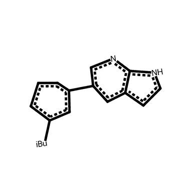 CCC(C)c1cccc(-c2cnc3[nH]ccc3c2)c1